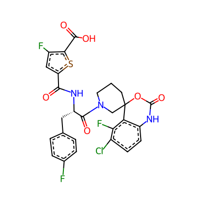 O=C1Nc2ccc(Cl)c(F)c2C2(CCCN(C(=O)[C@H](Cc3ccc(F)cc3)NC(=O)c3cc(F)c(C(=O)O)s3)C2)O1